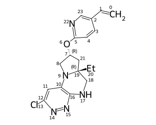 C=Cc1ccc(O[C@H]2CN3c4cc(Cl)nnc4NC[C@@]3(CC)C2)nc1